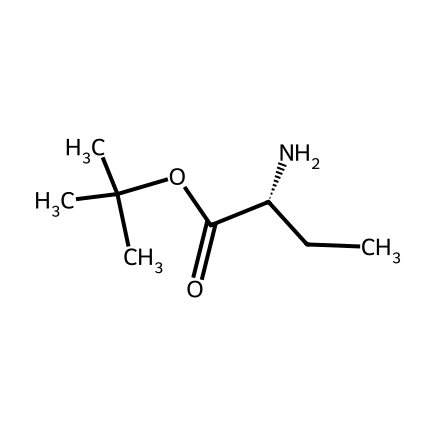 CC[C@@H](N)C(=O)OC(C)(C)C